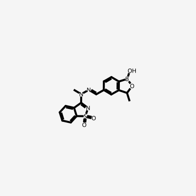 CC1OB(O)c2ccc(/C=N/N(C)C3=NS(=O)(=O)c4ccccc43)cc21